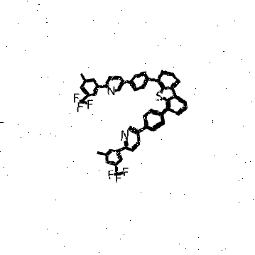 Cc1cc(-c2ccc(-c3ccc(-c4cccc5c4sc4c(-c6ccc(-c7ccc(-c8cc(C)cc(C(F)(F)F)c8)nc7)cc6)cccc45)cc3)cn2)cc(C(F)(F)F)c1